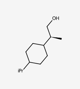 CC(C)C1CCC([C@H](C)CO)CC1